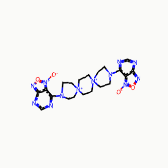 [O-][n+]1onc2ncnc(N3CC[N+]4(CC3)CC[N+]3(CCN(c5ncnc6no[n+]([O-])c56)CC3)CC4)c21